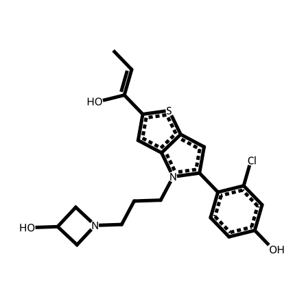 CC=C(O)c1cc2c(cc(-c3ccc(O)cc3Cl)n2CCCN2CC(O)C2)s1